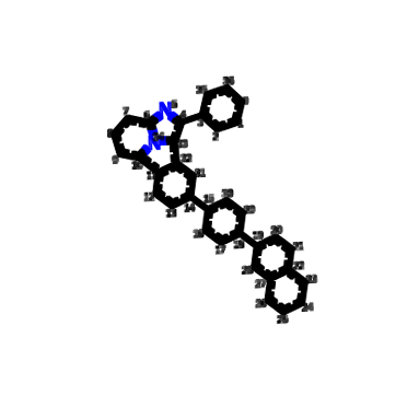 c1ccc(-c2nc3cccc4c5ccc(-c6ccc(-c7ccc8ccccc8c7)cc6)cc5c2n34)cc1